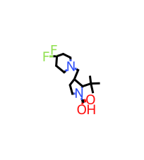 CC(C)(C)C1C(CN2CCC(F)(F)CC2)CCN1C(=O)O